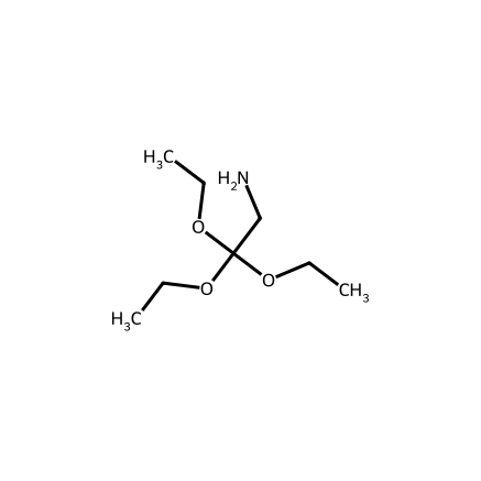 CCOC(CN)(OCC)OCC